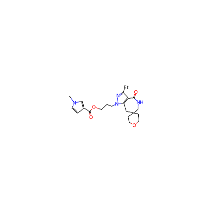 CCc1nn(CCCOC(=O)c2ccn(C)c2)c2c1C(=O)NCC1(CCOCC1)C2